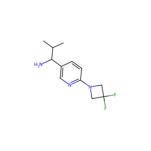 CC(C)C(N)c1ccc(N2CC(F)(F)C2)nc1